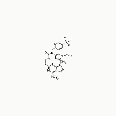 Cn1cc(N(Cc2ccc(C(F)(F)F)cn2)C(=O)c2ccc3nc(N)c4cnn(C)c4c3c2)cn1